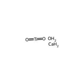 O.[CaH2].[O]=[Ti]=[O]